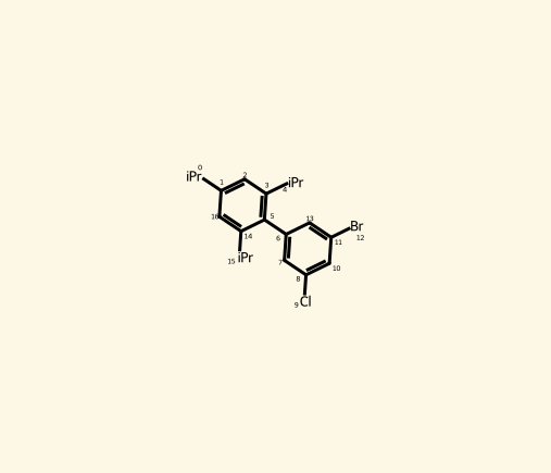 CC(C)c1cc(C(C)C)c(-c2cc(Cl)cc(Br)c2)c(C(C)C)c1